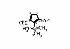 C[Si](C)(C)C1=[C]([Zr+2])CC=C1.[Cl-].[Cl-]